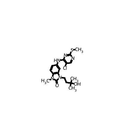 CSc1ncc(Cl)c(Nc2ccc3c(c2)n(CCC(C)(C)O)c(=O)n3C)n1